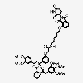 COc1ccc(CC[C@@H](OC(=O)[C@@H]2CCCCN2C(=O)Cc2cc(OC)c(OC)c(OC)c2)c2cccc(OCC(=O)NCCCCCCOc3cccc4c3C(=O)N(C3CCC(=O)NC3=O)C4=O)c2)cc1OC